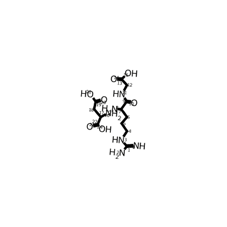 N=C(N)NCCCC(N)C(=O)NCC(=O)O.NC(CC(=O)O)C(=O)O